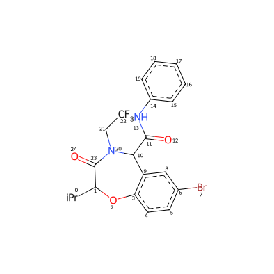 CC(C)C1Oc2ccc(Br)cc2C(C(=O)Nc2ccccc2)N(CC(F)(F)F)C1=O